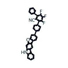 N#Cc1c(-c2ccccc2)c(F)c(F)c(F)c1-c1ccc(-c2ccc3c(c2)oc2cc4[nH]c5ccccc5c4cc23)cc1